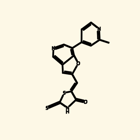 Cc1cc(-c2cncc3cc(/C=C4\SC(=S)NC4=O)oc23)ccn1